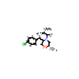 CCC([C@H](C)OC)N1C[C@H](C)OCC1Cc1ccc(Cl)cc1